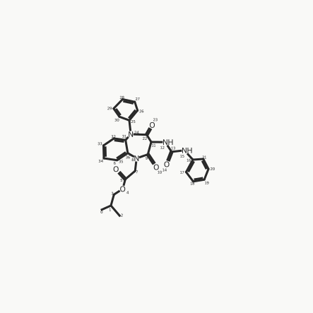 CC(C)COC(=O)CN1C(=O)C(NC(=O)Nc2ccccc2)C(=O)N(c2ccccc2)c2ccccc21